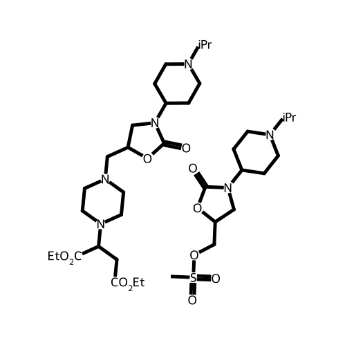 CC(C)N1CCC(N2CC(COS(C)(=O)=O)OC2=O)CC1.CCOC(=O)CC(C(=O)OCC)N1CCN(CC2CN(C3CCN(C(C)C)CC3)C(=O)O2)CC1